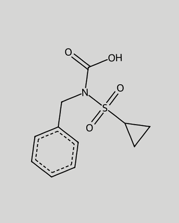 O=C(O)N(Cc1ccccc1)S(=O)(=O)C1CC1